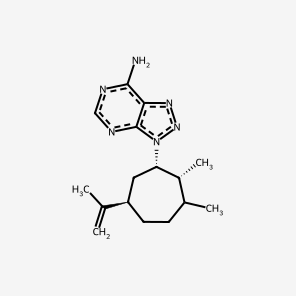 C=C(C)[C@@H]1CCC(C)[C@@H](C)[C@@H](n2nnc3c(N)ncnc32)C1